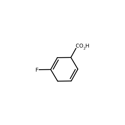 O=C(O)C1C=CCC(F)=C1